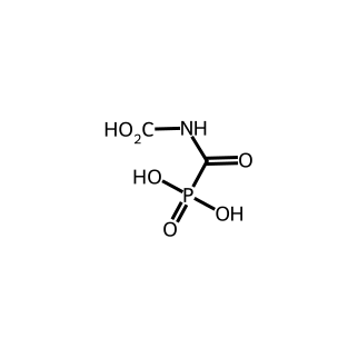 O=C(O)NC(=O)P(=O)(O)O